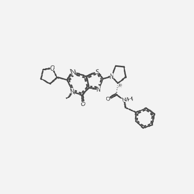 Cn1c(C2CCCO2)nc2sc(N3CCC[C@@H]3C(=O)NCc3ccccc3)nc2c1=O